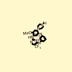 COc1cc(N2CCN(C(C)=O)CC2)ccc1Nc1ncc(C(F)(F)F)c(Nc2cccc(N)c2)n1